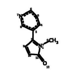 C[N+]1=C(c2cccnc2)C=CC1=O